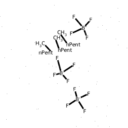 CCCCCC.CCCCCC.CCCCCC.F[B-](F)(F)F.F[B-](F)(F)F.F[B-](F)(F)F